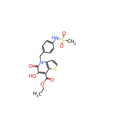 CCOC(=O)c1c(O)c(=O)n(Cc2ccc(NS(C)(=O)=O)cc2)c2ccsc12